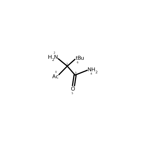 CC(=O)C(N)(C(N)=O)C(C)(C)C